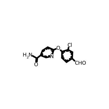 NC(=O)c1ccc(Oc2ccc(C=O)cc2Cl)nc1